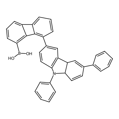 OB(O)c1cccc2c1-c1c(-c3ccc4c(c3)C3C=C(c5ccccc5)C=CC3N4c3ccccc3)cccc1-2